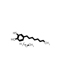 CCCCCCCCc1ccc(O)c(S)c1.COC